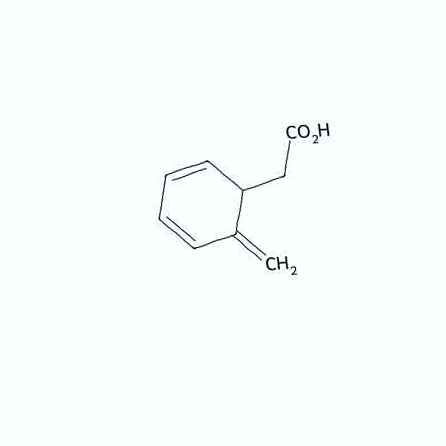 C=C1C=CC=CC1CC(=O)O